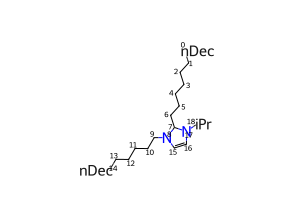 CCCCCCCCCCCCCCCCC1N(CCCCCCCCCCCCCCC)C=CN1C(C)C